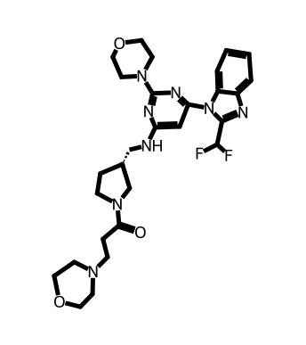 O=C(CCN1CCOCC1)N1CC[C@H](CNc2cc(-n3c(C(F)F)nc4ccccc43)nc(N3CCOCC3)n2)C1